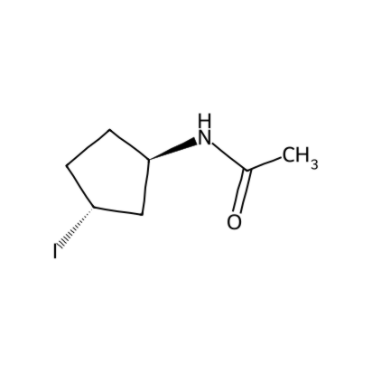 CC(=O)N[C@@H]1CC[C@@H](I)C1